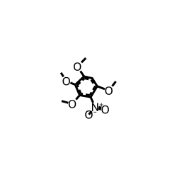 COc1cc(OC)c([N+](=O)[O-])c(OC)c1OC